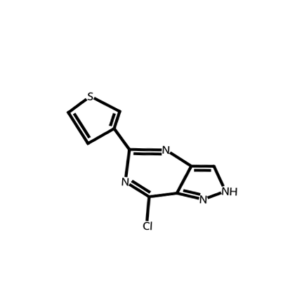 Clc1nc(-c2ccsc2)nc2c[nH]nc12